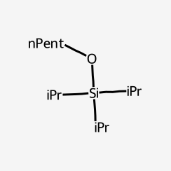 CCCCCO[Si](C(C)C)(C(C)C)C(C)C